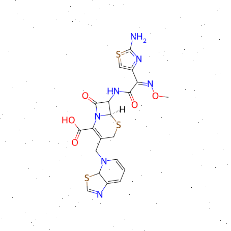 CO/N=C(\C(=O)NC1C(=O)N2C(C(=O)O)=C(CN3C=CC=C4N=CSC43)CS[C@H]12)c1csc(N)n1